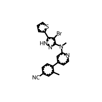 Cc1cc(C#N)ccc1-c1ccnc(N(C)c2n[nH]c(-c3cccs3)c2Br)c1